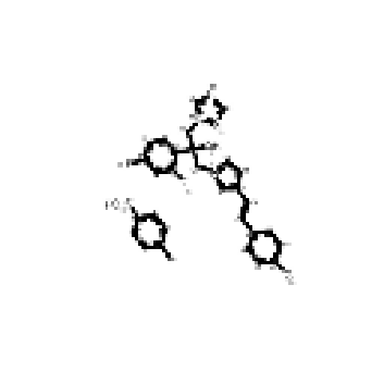 Cc1ccc(S(=O)(=O)O)cc1.OC(Cn1ccc(/C=C/c2ccc(Cl)cc2)c1)(Cn1cncn1)c1ccc(F)cc1F